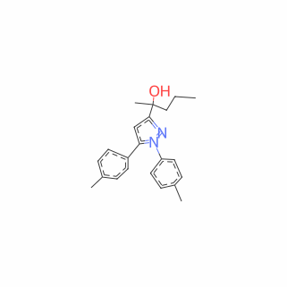 CCCC(C)(O)c1cc(-c2ccc(C)cc2)n(-c2ccc(C)cc2)n1